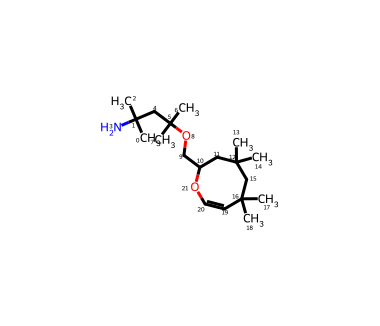 CC(C)(N)CC(C)(C)OCC1CC(C)(C)CC(C)(C)/C=C\O1